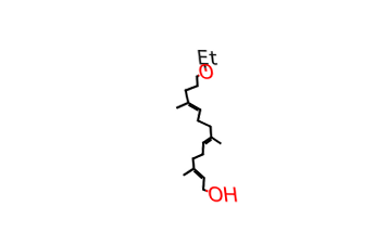 CCOCCCC(C)=CCCC(C)=CCCC(C)=CCO